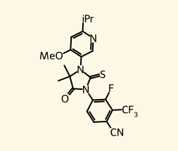 COc1cc(C(C)C)ncc1N1C(=S)N(c2ccc(C#N)c(C(F)(F)F)c2F)C(=O)C1(C)C